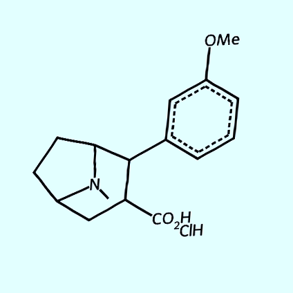 COc1cccc(C2C(C(=O)O)CC3CCC2N3C)c1.Cl